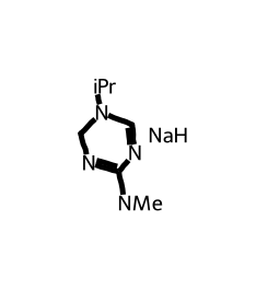 CNC1=NCN(C(C)C)C=N1.[NaH]